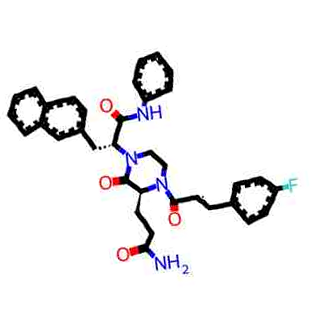 NC(=O)CC[C@H]1C(=O)N([C@H](Cc2ccc3ccccc3c2)C(=O)Nc2ccccc2)CCN1C(=O)[CH]Cc1ccc(F)cc1